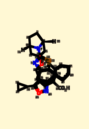 O=C(O)c1ccc2nc(N3[C@@H]4CC[C@H]3C[C@H](OCc3c(-c5ccccc5C(F)(F)F)noc3C3CC3)C4)sc2c1